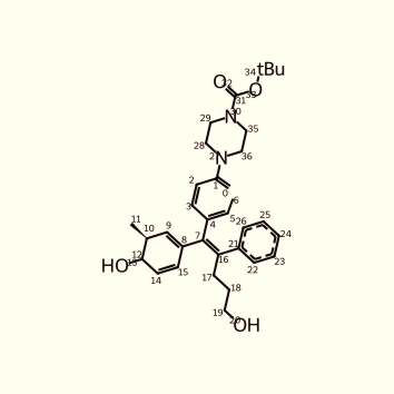 C=C(\C=C/C(=C\C)C(/C1=C[C@H](C)C(O)C=C1)=C(/CCCO)c1ccccc1)N1CCN(C(=O)OC(C)(C)C)CC1